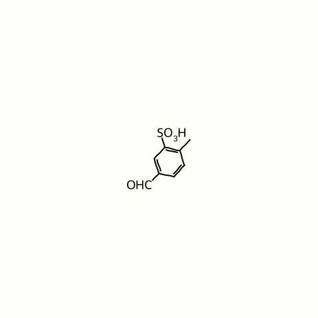 Cc1ccc(C=O)cc1S(=O)(=O)O